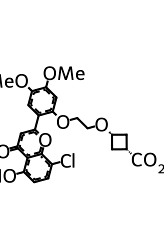 COc1cc(OCCO[C@H]2C[C@@H](C(=O)O)C2)c(-c2cc(=O)c3c(O)ccc(Cl)c3o2)cc1OC